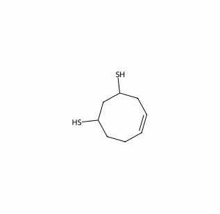 SC1CC=CCCC(S)C1